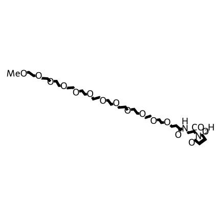 COCCOCCOCCOCCOCCOCCOCCOCCOCCOCCOCCOCCC(=O)NC[C@@H](C(=O)O)N1C(=O)C=CC1=O